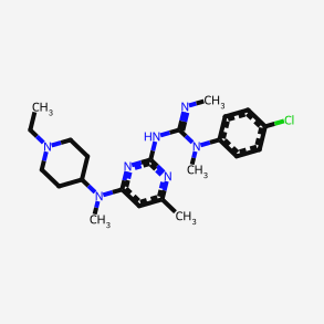 CCN1CCC(N(C)c2cc(C)nc(N/C(=N/C)N(C)c3ccc(Cl)cc3)n2)CC1